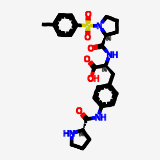 Cc1ccc(S(=O)(=O)N2CCC[C@H]2C(=O)N[C@@H](Cc2ccc(NC(=O)[C@@H]3CCCN3)cc2)C(=O)O)cc1